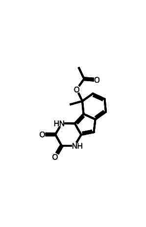 CC(=O)OC1(C)C=CC=C2C=c3[nH]c(=O)c(=O)[nH]c3=C21